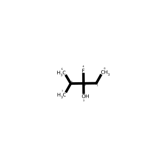 CCC(O)(F)C(C)C